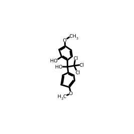 COc1ccc(C(O)(c2ccc(OC)cc2O)C(Cl)(Cl)Cl)cc1